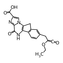 CCOC(=C=O)Cc1ccc2c(c1)Cc1c-2[nH]c(=O)c2nc(C(=O)O)cn12